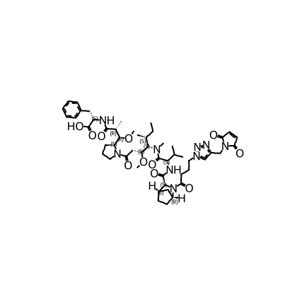 CC[C@H](C)[C@@H]([C@@H](CC(=O)N1CCC[C@H]1[C@H](OC)[C@@H](C)C(=O)N[C@@H](Cc1ccccc1)C(=O)O)OC)N(C)C(=O)[C@@H](NC(=O)[C@@H]1[C@H]2CC[C@H](C2)N1C(=O)CCCn1cc(CN2C(=O)C=CC2=O)nn1)C(C)C